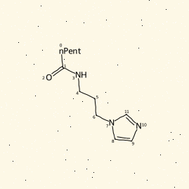 CCCCCC(=O)NCCCn1ccnc1